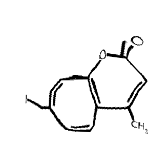 Cc1cc(=O)oc2cc(I)ccc12